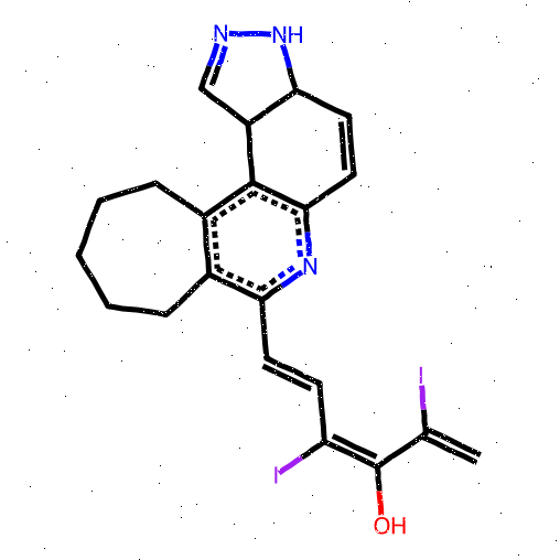 C=C(I)/C(O)=C(I)\C=C\c1nc2c(c3c1CCCCC3)C1C=NNC1C=C2